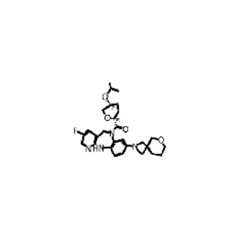 CC(C)O[C@H]1CC[C@H](C(=O)N2Cc3cc(F)cnc3Nc3ccc(N4CC5(CCCOC5)C4)cc32)OC1